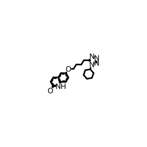 O=c1ccc2cc(OCCCCc3nnnn3C3CCCCC3)ccc2[nH]1